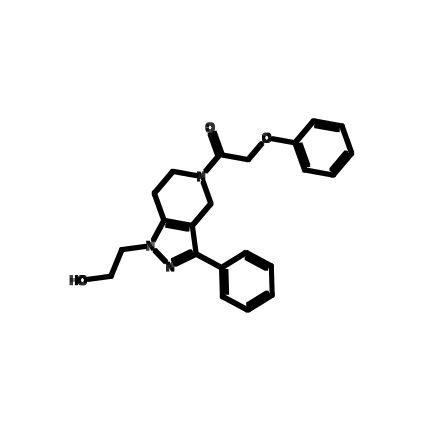 O=C(COc1ccccc1)N1CCc2c(c(-c3ccccc3)nn2CCO)C1